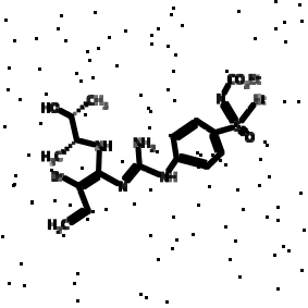 C=C/C(Br)=C(\N=C(/N)Nc1ccc(S(=O)(CC)=NC(=O)OCC)cc1)N[C@H](C)[C@@H](C)O